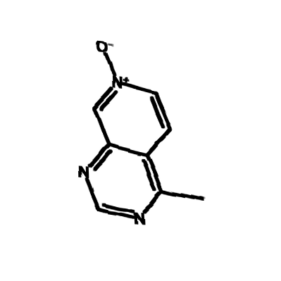 Cc1ncnc2c[n+]([O-])ccc12